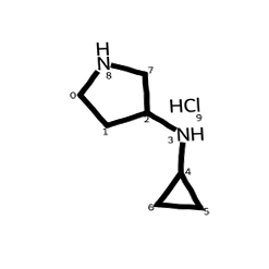 C1CC(NC2CC2)CN1.Cl